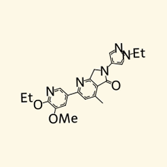 CCOc1ncc(-c2cc(C)c3c(n2)CN(c2cnn(CC)c2)C3=O)cc1OC